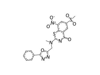 CN(Cc1nnc(-c2ccccc2)o1)c1nc(=O)c2cc(S(C)(=O)=O)cc([N+](=O)[O-])c2s1